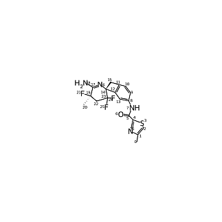 Cc1csc(C(=O)Nc2ccc3c(c2)[C@@]2(C3)N=C(N)[C@](C)(F)CC2(F)F)n1